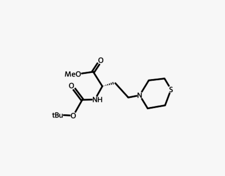 COC(=O)[C@H](CCN1CCSCC1)NC(=O)OC(C)(C)C